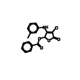 Cc1cccc(NC2=C(Cl)C(=O)OC2OC(=O)c2ccccc2)c1